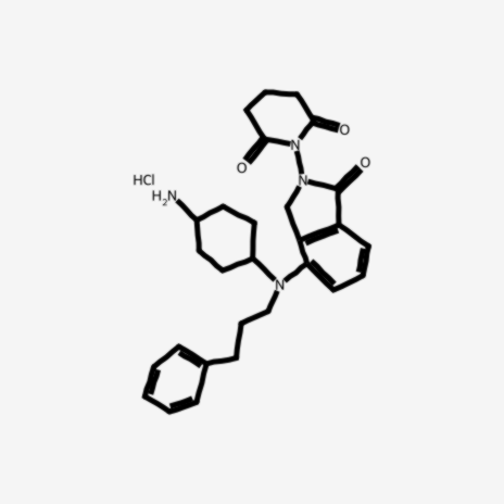 Cl.NC1CCC(N(CCCc2ccccc2)c2cccc3c2CN(N2C(=O)CCCC2=O)C3=O)CC1